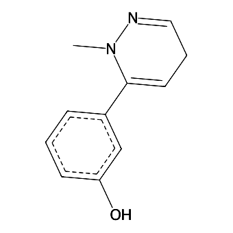 CN1N=CCC=C1c1cccc(O)c1